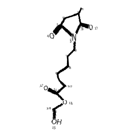 CC1CC(=O)N(CCCCCC(=O)OCO)C1=O